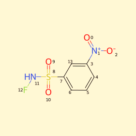 O=[N+]([O-])c1cccc(S(=O)(=O)NF)c1